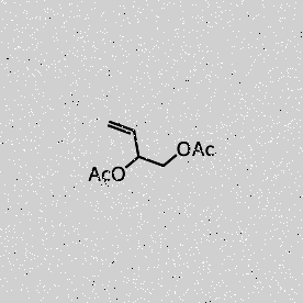 C=CC(COC(C)=O)OC(C)=O